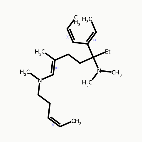 C/C=C\CCN(C)/C=C(\C)CCC(CC)(C(/C=C\C)=C/C)N(C)C